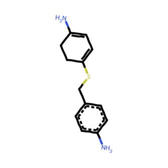 NC1=CC=C(SCc2ccc(N)cc2)CC1